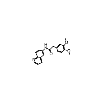 COc1ccc(CC(=O)Nc2ccc3ncccc3c2)cc1OC